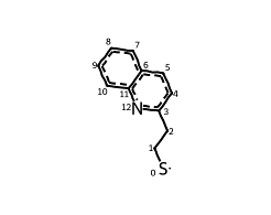 [S]CCc1ccc2ccccc2n1